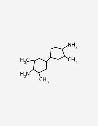 CC1C[C](C2CC(C)C(N)C(C)C2)CCC1N